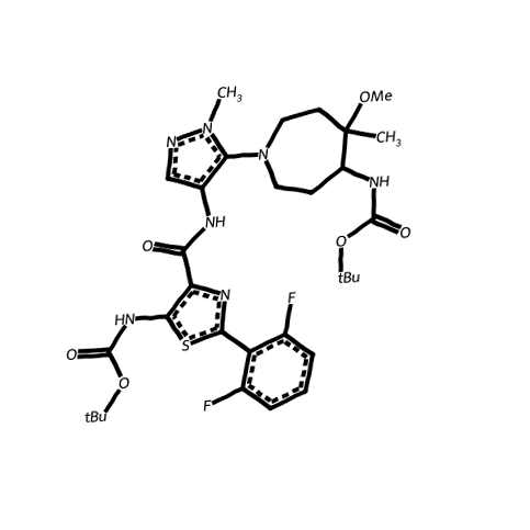 COC1(C)CCN(c2c(NC(=O)c3nc(-c4c(F)cccc4F)sc3NC(=O)OC(C)(C)C)cnn2C)CCC1NC(=O)OC(C)(C)C